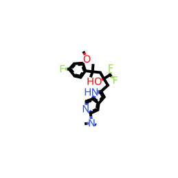 COc1cc(F)ccc1C(C)(C)CC(O)(Cc1cc2cc(N(C)C)ncc2[nH]1)C(F)F